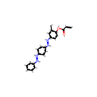 C=CC(=O)Oc1ccc(/N=N/c2ccc(/N=N/c3ccccc3)cc2)cc1C